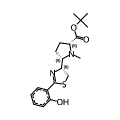 CN1[C@@H](C(=O)OC(C)(C)C)CC[C@H]1[C@@H]1CSC(c2ccccc2O)=N1